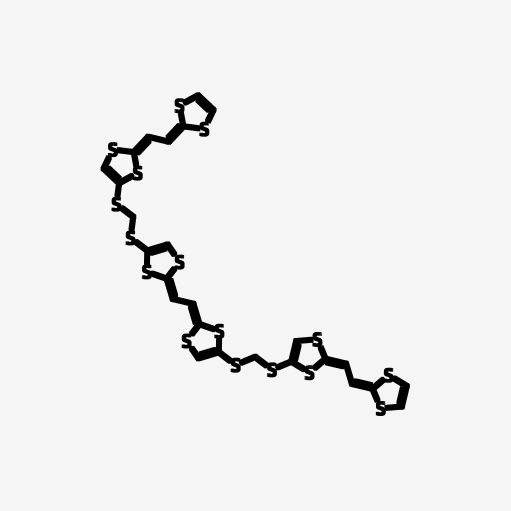 C1=CSC(=C/C=C2/SC=C(SCSC3=CS/C(=C\C=C4/SC=C(SCSC5=CS/C(=C/C=C6SC=CS6)S5)S4)S3)S2)S1